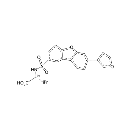 CC(C)[C@@H](NS(=O)(=O)c1ccc2oc3cc(-c4ccoc4)ccc3c2c1)C(=O)O